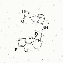 Cc1c(F)cccc1N1CCCN(CC(=O)NC2C3CC4CC2CC(C(N)=O)(C4)C3)S1(=O)=O